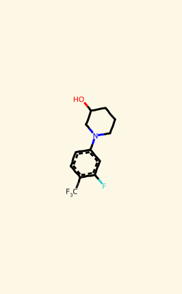 OC1CCCN(c2ccc(C(F)(F)F)c(F)c2)C1